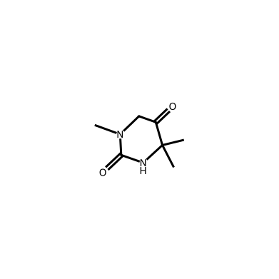 CN1CC(=O)C(C)(C)NC1=O